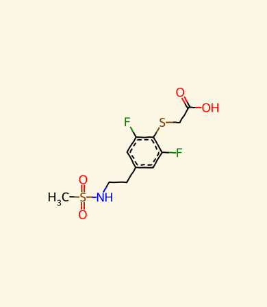 CS(=O)(=O)NCCc1cc(F)c(SCC(=O)O)c(F)c1